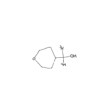 [2H]C([2H])(O)C1CCOCC1